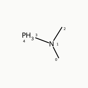 CN(C)C.P